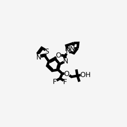 CC(C)(O)COC(c1ccc(-c2nccs2)c2oc(N3CC4CC(C3)N4)nc12)C(F)F